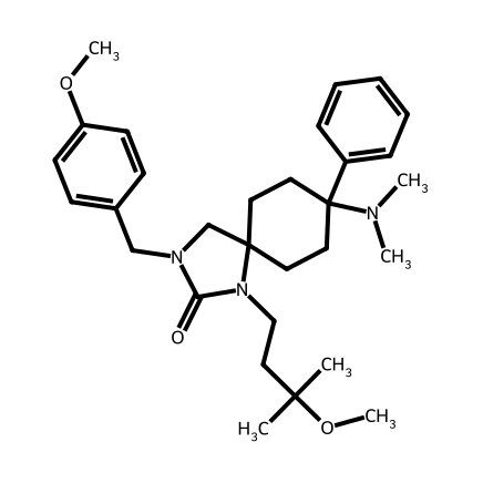 COc1ccc(CN2CC3(CCC(c4ccccc4)(N(C)C)CC3)N(CCC(C)(C)OC)C2=O)cc1